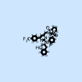 O=C(NCc1cc(-c2ccc(C(F)(F)F)cc2)nc(N[C@H](CO)Cc2ccccc2)n1)[C@@H]1CCCN1S(=O)(=O)c1ccc(F)cc1